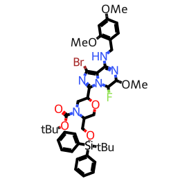 COc1ccc(CNC2=NC(OC)C(F)n3c(C4CN(C(=O)OC(C)(C)C)C(CO[Si](c5ccccc5)(c5ccccc5)C(C)(C)C)CO4)nc(Br)c32)c(OC)c1